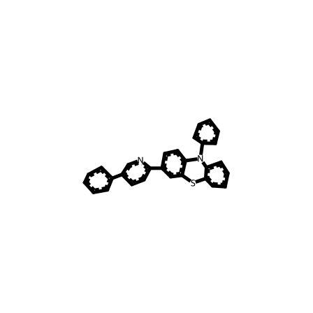 c1ccc(-c2ccc(-c3ccc4c(c3)Sc3ccccc3N4c3ccccc3)nc2)cc1